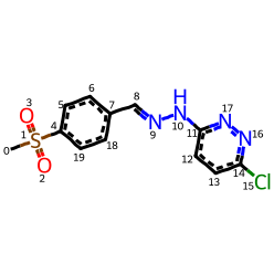 CS(=O)(=O)c1ccc(C=NNc2ccc(Cl)nn2)cc1